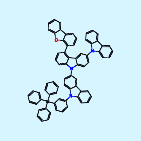 c1ccc([Si](c2ccccc2)(c2ccccc2)c2cccc(-n3c4ccccc4c4cc(-n5c6ccc(-n7c8ccccc8c8ccccc87)cc6c6c(-c7cccc8c7oc7ccccc78)cccc65)ccc43)c2)cc1